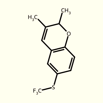 CC1=Cc2cc(SC(F)(F)F)ccc2OC1C